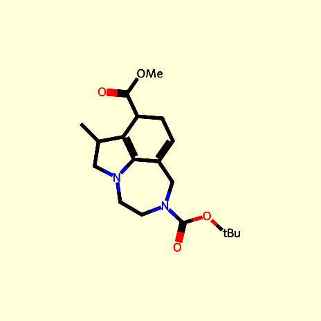 COC(=O)C1CC=C2CN(C(=O)OC(C)(C)C)CCN3CC(C)C1=C23